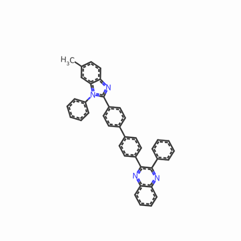 Cc1ccc2nc(-c3ccc(-c4ccc(-c5nc6ccccc6nc5-c5ccccc5)cc4)cc3)n(-c3ccccc3)c2c1